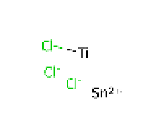 [Cl-].[Cl-].[Cl][Ti].[Sn+2]